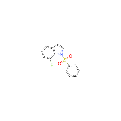 O=S(=O)(c1ccccc1)n1ccc2cccc(F)c21